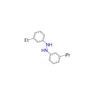 CCc1cccc(NNc2cccc(C(C)C)c2)c1